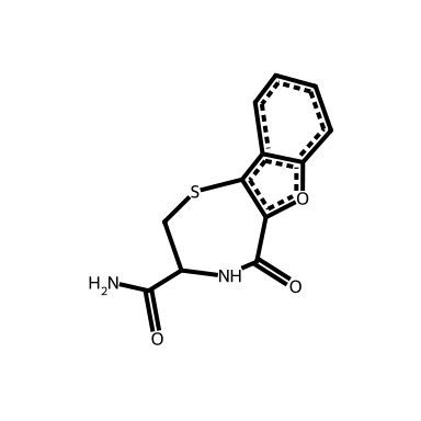 NC(=O)C1CSc2c(oc3ccccc23)C(=O)N1